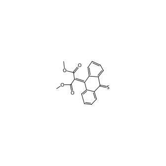 COC(=O)C(C(=O)OC)=C1c2ccccc2C(=S)c2ccccc21